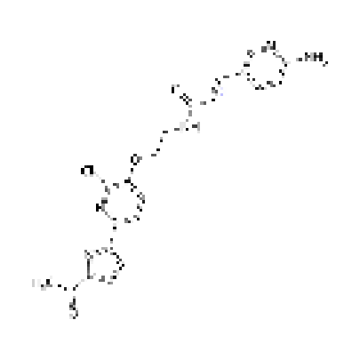 CC(=O)c1ccc(-c2ccc(OCCNC(=O)/C=C/c3ccc(N)nc3)c(Cl)n2)s1